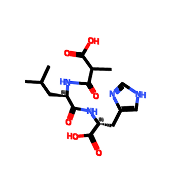 CC(C)C[C@@H](NC(=O)C(C)C(=O)O)C(=O)N[C@H](Cc1c[nH]cn1)C(=O)O